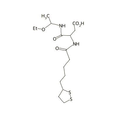 CCOC(C)NC(=O)C(CC(=O)O)NC(=O)CCCCC1CCSS1